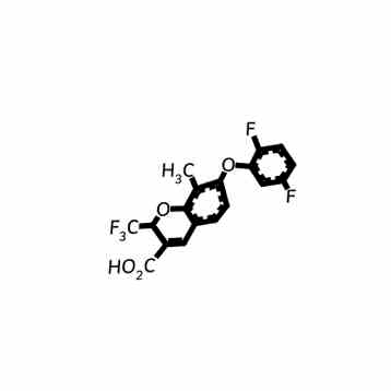 Cc1c(Oc2cc(F)ccc2F)ccc2c1OC(C(F)(F)F)C(C(=O)O)=C2